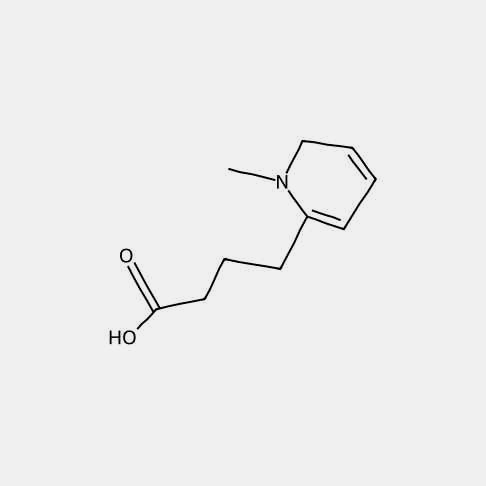 CN1CC=CC=C1CCCC(=O)O